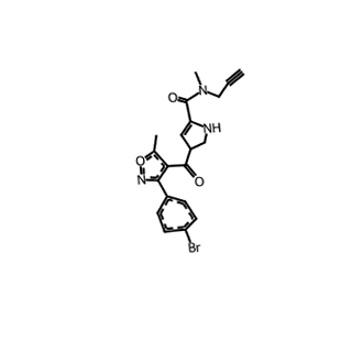 C#CCN(C)C(=O)C1=CC(C(=O)c2c(-c3ccc(Br)cc3)noc2C)CN1